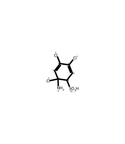 NC1(Cl)C=C(Cl)C(Cl)=CC1S(=O)(=O)O